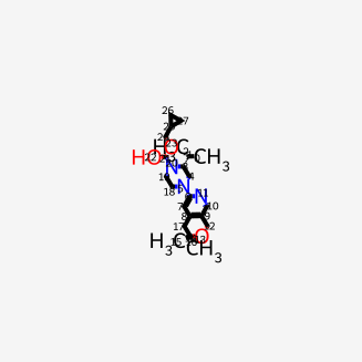 CC(C)[C@@H]1CN(c2cc3c(cn2)COC(C)(C)C3)CCN1C(O)OCC1CC1